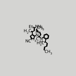 C=C(/C=C(/N)CC)C1=C(NC(C)(/C=C\C=C/C)Nc2ccccc2C(C)/C=C\C=C/C)CC(C#N)=C1